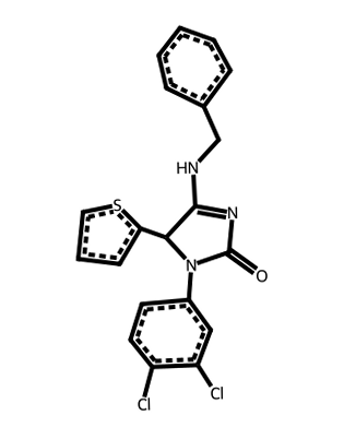 O=C1N=C(NCc2ccccc2)C(c2cccs2)N1c1ccc(Cl)c(Cl)c1